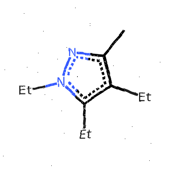 CCc1c(C)nn(CC)c1CC